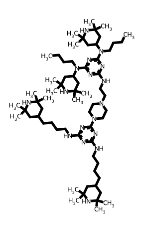 CCCCN(c1nc(NCCN2CCN(c3nc(NCCCCC4CC(C)(C)NC(C)(C)C4)nc(NCCCCC4CC(C)(C)NC(C)(C)C4)n3)CC2)nc(N(CCCC)C2CC(C)(C)NC(C)(C)C2)n1)C1CC(C)(C)NC(C)(C)C1